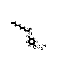 C=CCCCCCC(C)OCc1ccc(C(=O)O)cc1